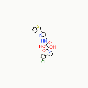 O=C(NCc1ccc(C2CSc3ccccc32)nc1)[C@H](O)[C@@H](O)C(=O)N1CCCC1c1cccc(Cl)c1